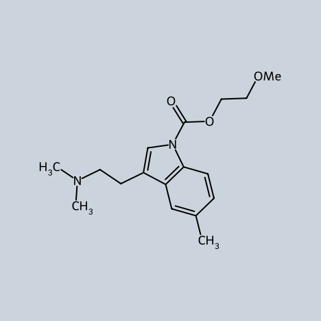 COCCOC(=O)n1cc(CCN(C)C)c2cc(C)ccc21